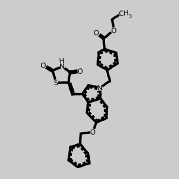 CCOC(=O)c1ccc(Cn2cc(/C=C3/SC(=O)NC3=O)c3cc(OCc4ccccc4)ccc32)cc1